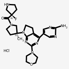 C[C@]1(N2CCc3c(-c4cnc(N)nc4)nc(N4CCOCC4)nc32)CCN(C(=O)[C@@]2(F)CCNC2)C1.Cl